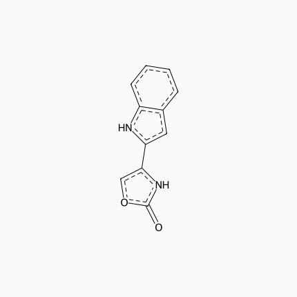 O=c1[nH]c(-c2cc3ccccc3[nH]2)co1